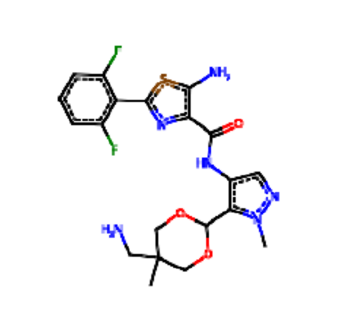 Cn1ncc(NC(=O)c2nc(-c3c(F)cccc3F)sc2N)c1C1OCC(C)(CN)CO1